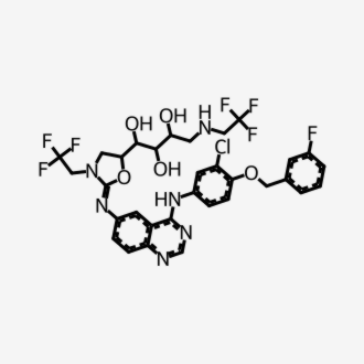 OC(CNCC(F)(F)F)C(O)C(O)C1CN(CC(F)(F)F)C(=Nc2ccc3ncnc(Nc4ccc(OCc5cccc(F)c5)c(Cl)c4)c3c2)O1